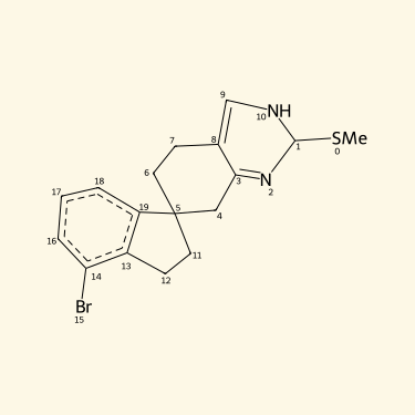 CSC1N=C2CC3(CCC2=CN1)CCc1c(Br)cccc13